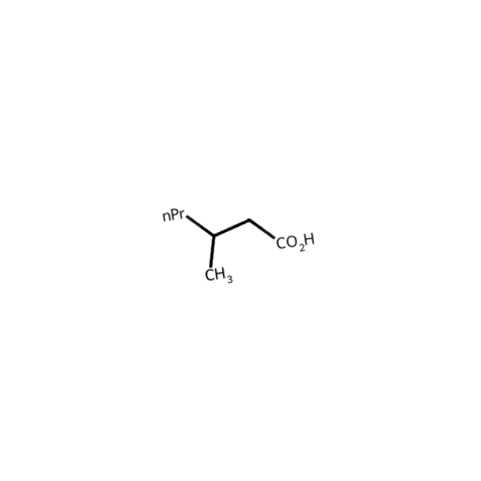 [CH2]CCC(C)CC(=O)O